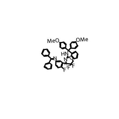 COc1ccc(C(NC2=N[C@](C)(c3cc(N=C(c4ccccc4)c4ccccc4)ccc3F)C(F)(F)CO2)(c2ccccc2)c2ccc(OC)cc2)cc1